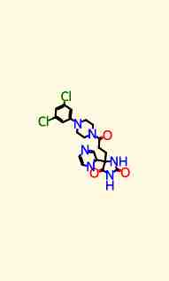 O=C1NC(=O)C(CCC(=O)N2CCN(c3cc(Cl)cc(Cl)c3)CC2)(c2cnccn2)N1